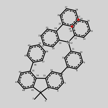 CC1(C)c2ccc(-c3cccc(N(c4ccccc4)c4ccccc4-c4ccccc4)c3)cc2-c2c(-c3ccccc3)cccc21